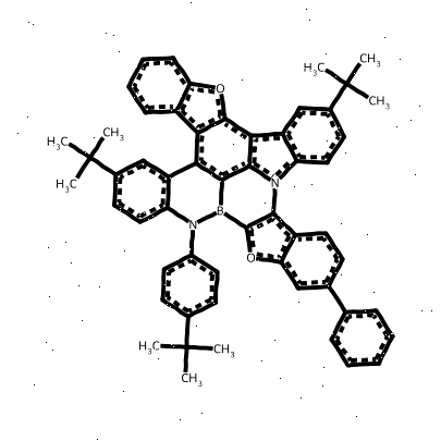 CC(C)(C)c1ccc(N2B3c4oc5cc(-c6ccccc6)ccc5c4-n4c5ccc(C(C)(C)C)cc5c5c6oc7ccccc7c6c(c3c54)-c3cc(C(C)(C)C)ccc32)cc1